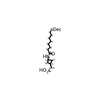 CCCCCCCCCCCCCCCCCC(=O)NC1CC(CC(=O)O)C1